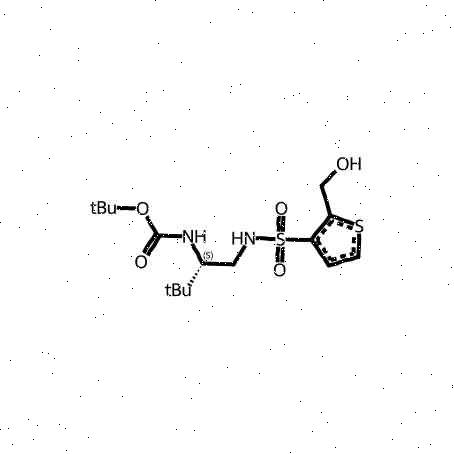 CC(C)(C)OC(=O)N[C@H](CNS(=O)(=O)c1ccsc1CO)C(C)(C)C